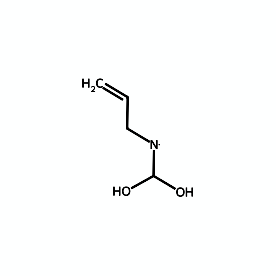 C=CC[N]C(O)O